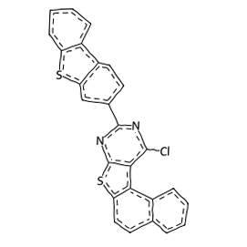 Clc1nc(-c2ccc3c(c2)sc2ccccc23)nc2sc3ccc4ccccc4c3c12